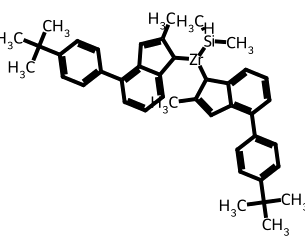 CC1=Cc2c(-c3ccc(C(C)(C)C)cc3)cccc2[CH]1[Zr]([CH]1C(C)=Cc2c(-c3ccc(C(C)(C)C)cc3)cccc21)[SiH](C)C